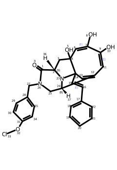 O=C1[C@@H]2CC3(O)/C=C(O)\C(O)=C/C4=CC3(/C=C/c3ccccc3)N2[C@H]4CN1Cc1ccc(OCl)cc1